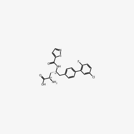 N[C@H](C[C@@H](Cc1ccc(-c2cc(Cl)ccc2F)cc1)NC(=O)c1ccns1)C(=O)O